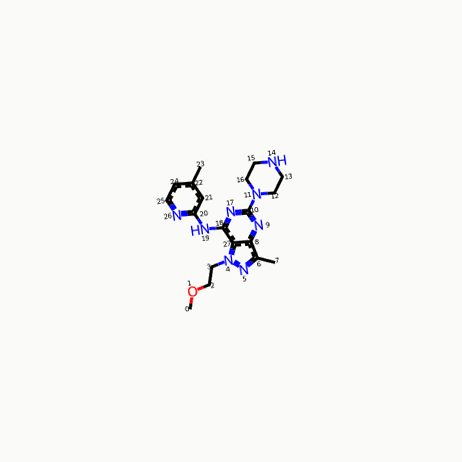 COCCn1nc(C)c2nc(N3CCNCC3)nc(Nc3cc(C)ccn3)c21